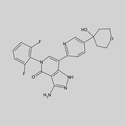 Nc1n[nH]c2c(-c3ccc(C4(O)CCOCC4)cn3)cn(-c3c(F)cccc3F)c(=O)c12